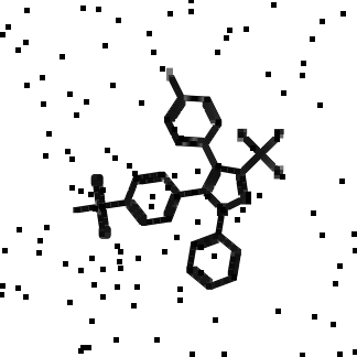 CS(=O)(=O)c1ccc(-c2c(-c3ccc(I)cc3)c(C(F)(F)F)nn2-c2ccccc2)cc1